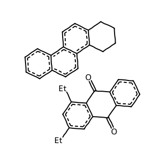 CCc1cc(CC)c2c(c1)C(=O)c1ccccc1C2=O.c1ccc2c(c1)ccc1c3c(ccc12)CCCC3